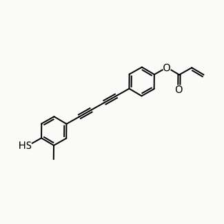 C=CC(=O)Oc1ccc(C#CC#Cc2ccc(S)c(C)c2)cc1